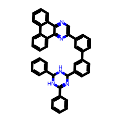 c1ccc(C2=NC(c3cccc(-c4cccc(-c5cnc6c7ccccc7c7ccccc7c6n5)c4)c3)NC(c3ccccc3)N2)cc1